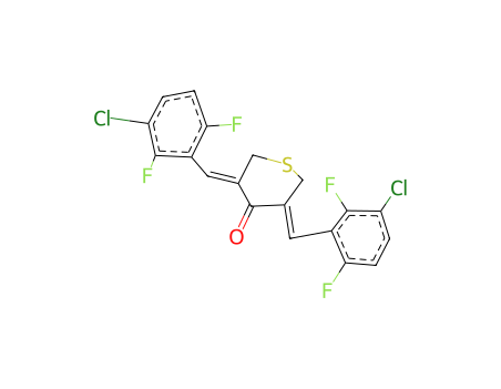 O=C1/C(=C/c2c(F)ccc(Cl)c2F)CSC/C1=C\c1c(F)ccc(Cl)c1F